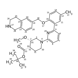 CO[C@@H]1CN(c2cccc(-c3cc(C)ccc3OCc3ccc4c(c3)CCNC4)n2)CC[C@@H]1C(=O)OC(C)(C)C